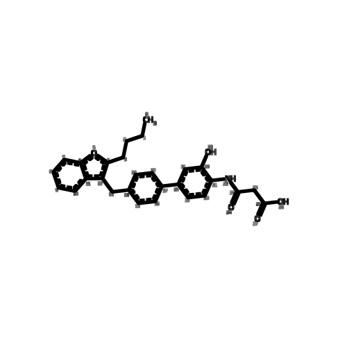 CCCCc1oc2ccccc2c1Cc1ccc(-c2ccc(NC(=O)CC(=O)O)c(O)c2)cc1